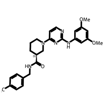 COc1cc(Nc2nccc(N3CCC[C@H](C(=O)NCc4ccc(C)cc4)C3)n2)cc(OC)c1